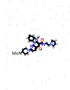 CNC1CCN(c2ccc3c(=O)c(C(=O)NCCN4CCCC4)c4n(C)c5ccccc5n4c3n2)CC1